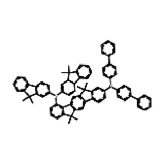 CC1(C)c2ccccc2-c2ccc(N(C3=CC4C(C=C3)c3ccccc3C4(C)C)c3cccc4c3-c3cc5c(cc3C4(C)C)-c3ccc(N(c4ccc(-c6ccccc6)cc4)c4ccc(-c6ccccc6)cc4)cc3C5(C)C)cc21